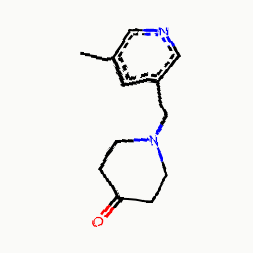 Cc1cncc(CN2CCC(=O)CC2)c1